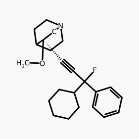 CO[C@]1(C#CC(F)(c2ccccc2)C2CCCCC2)CN2CCC1CC2